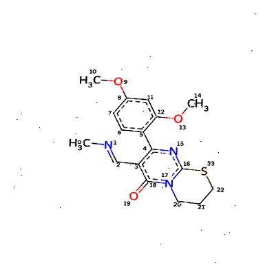 C/N=C/c1c(-c2ccc(OC)cc2OC)nc2n(c1=O)CCCS2